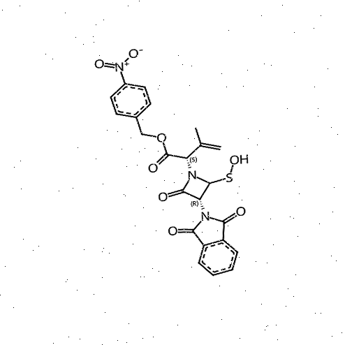 C=C(C)[C@@H](C(=O)OCc1ccc([N+](=O)[O-])cc1)N1C(=O)[C@@H](N2C(=O)c3ccccc3C2=O)C1SO